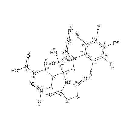 [N-]=[N+]=NN(CC(C(C[N+](=O)[O-])C(=O)O[N+](=O)[O-])(N1C(=O)CCC1=O)S(=O)(=O)O)c1c(F)c(F)c(F)c(F)c1F